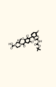 CC(C)(C)OC(=O)Nc1nc2c(-c3c(Cl)cc4c(c3Cl)OC[C@@H]3CN(C(=O)O)CCN3C4=O)ccc(F)c2s1